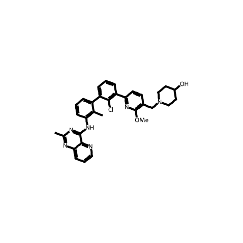 COc1nc(-c2cccc(-c3cccc(Nc4nc(C)nc5cccnc45)c3C)c2Cl)ccc1CN1CCC(O)CC1